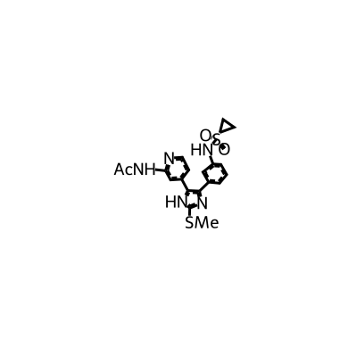 CSc1nc(-c2cccc(NS(=O)(=O)C3CC3)c2)c(-c2ccnc(NC(C)=O)c2)[nH]1